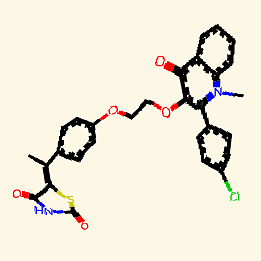 CC(=C1SC(=O)NC1=O)c1ccc(OCCOc2c(-c3ccc(Cl)cc3)n(C)c3ccccc3c2=O)cc1